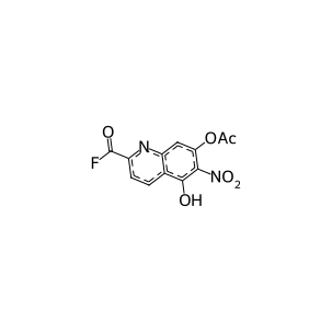 CC(=O)Oc1cc2nc(C(=O)F)ccc2c(O)c1[N+](=O)[O-]